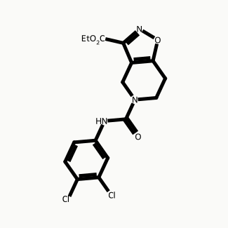 CCOC(=O)c1noc2c1CN(C(=O)Nc1ccc(Cl)c(Cl)c1)CC2